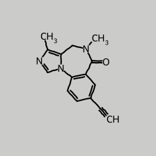 C#Cc1ccc2c(c1)C(=O)N(C)Cc1c(C)ncn1-2